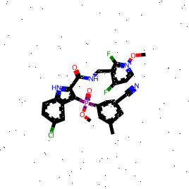 CO[n+]1ccc(F)c(CNC(=O)c2[nH]c3ccc(Cl)cc3c2P(=O)(OC)c2cc(C)cc(C#N)c2)c1F